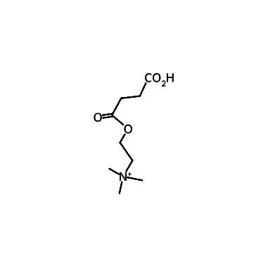 C[N+](C)(C)CCOC(=O)CCC(=O)O